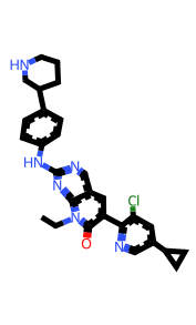 CCn1c(=O)c(-c2ncc(C3CC3)cc2Cl)cc2cnc(Nc3ccc(C4CCCNC4)cc3)nc21